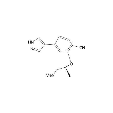 CNC[C@H](C)Oc1cc(-c2cn[nH]c2)ccc1C#N